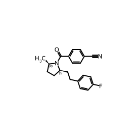 C[C@@H]1CC[C@H](CCc2ccc(F)cc2)N1C(=O)c1ccc(C#N)cc1